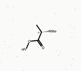 CCCOC(=O)[C@H](C)NC